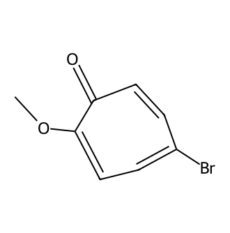 COc1ccc(Br)ccc1=O